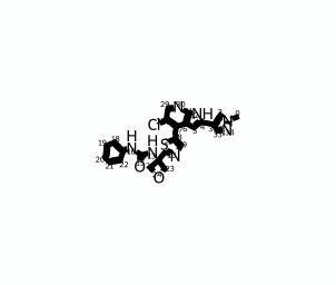 Cn1cc(-c2cc3c(-c4cnc(C5(NC(=O)Nc6ccccc6)COC5)s4)c(Cl)cnc3[nH]2)cn1